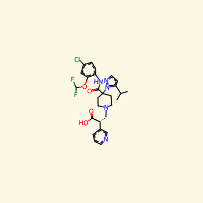 CC(C)c1ccnn1C1(C(=O)Nc2ccc(Cl)cc2OC(F)F)CCN(C[C@@H](C(=O)O)c2cccnc2)CC1